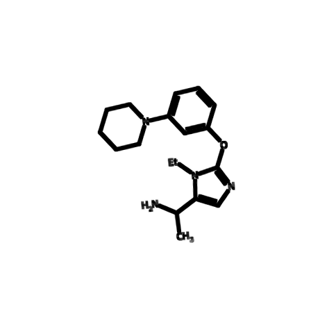 CCn1c(C(C)N)cnc1Oc1cccc(N2CCCCC2)c1